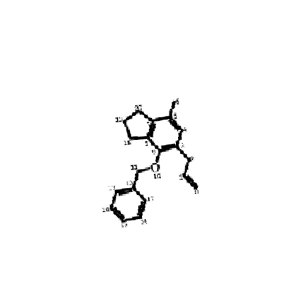 C=CCc1cc(C)c2c(c1OCc1ccccc1)CCC2